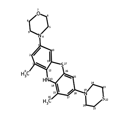 Cc1cc(N2CCOCC2)cc2c1Nc1c(C)cc(N3CCSCC3)cc1S2